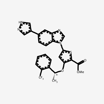 COC(=O)c1sc(-n2cnc3cc(-c4cn[nH]c4)ccc32)cc1O[C@H](C)c1ccccc1C(F)(F)F